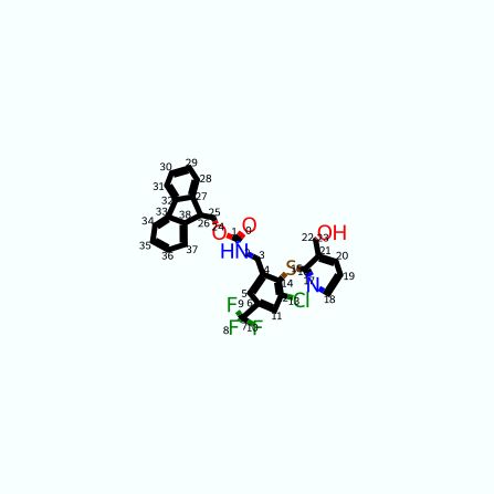 O=C(NCc1cc(C(F)(F)F)cc(Cl)c1Sc1ncccc1CO)OCC1c2ccccc2-c2ccccc21